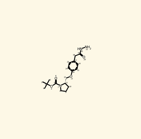 CC(C)(C)OC(=O)N1CCC[C@H]1COc1ccc(CC(=O)NN)cc1